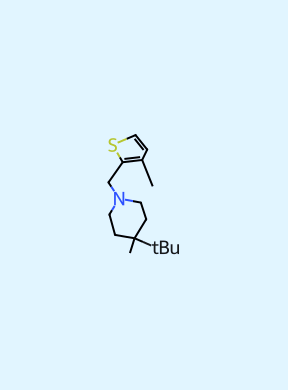 Cc1ccsc1CN1CCC(C)(C(C)(C)C)CC1